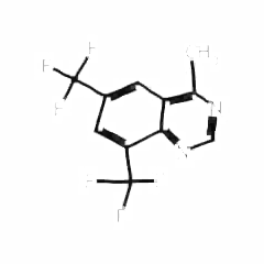 Cc1ncnc2c(C(F)(F)F)cc(C(F)(F)F)cc12